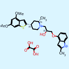 COc1cc(OC)c2cc([C@H]3CCN(C[C@H](O)COc4cccc5[nH]c(C)cc45)[C@@H](C)C3)sc2c1.O=C(O)C(=O)O